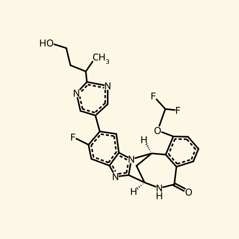 CC(CCO)c1ncc(-c2cc3c(cc2F)nc2n3[C@@H]3C[C@H]2NC(=O)c2cccc(OC(F)F)c23)cn1